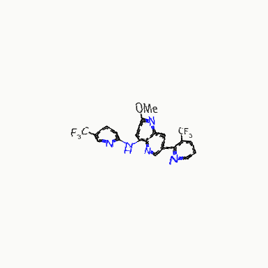 COc1cc(Nc2ccc(C(F)(F)F)cn2)c2ncc(-c3ncccc3C(F)(F)F)cc2n1